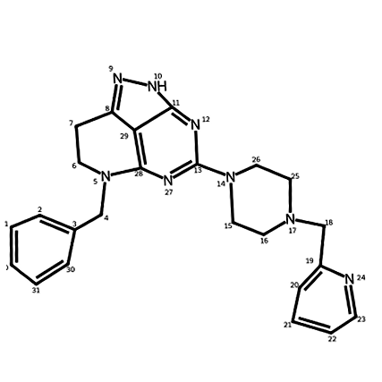 c1ccc(CN2CCc3n[nH]c4nc(N5CCN(Cc6ccccn6)CC5)nc2c34)cc1